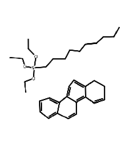 C1=Cc2c(ccc3c2ccc2ccccc23)CC1.CCCCCCCCCC[Si](OCC)(OCC)OCC